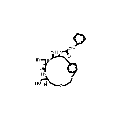 CC(C)C[C@@H]1NC(=O)[C@@H](NC(=O)OCc2ccccc2)Cc2ccc(cc2)OCCCCC[C@@H](CO)NC1=O